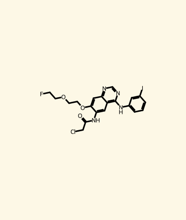 O=C(CCl)Nc1cc2c(Nc3cccc(I)c3)ncnc2cc1OCCOCCF